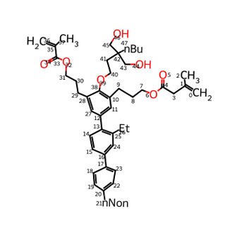 C=C(C)CC(=O)OCCCc1cc(-c2ccc(-c3ccc(CCCCCCCCC)cc3)cc2CC)cc(CCCOC(=O)C(=C)C)c1OCCC(CO)(CO)CCCC